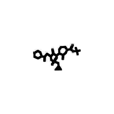 CC(C)(C)OC(=O)N1CCCC(NC(=O)C(CC(=O)N2CCOCC2)CS(=O)(=O)CC2CC2)C(=O)C1